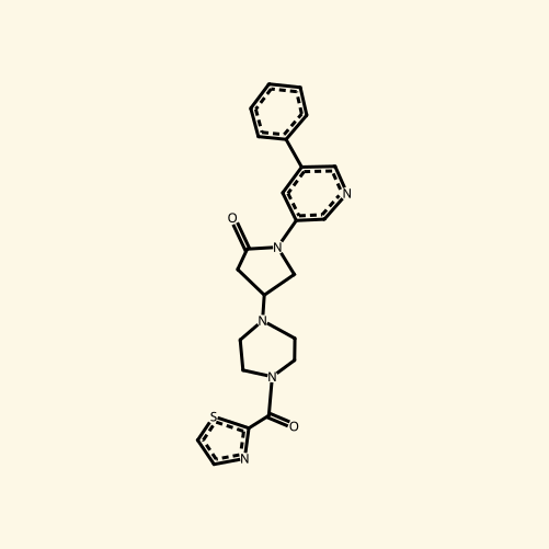 O=C(c1nccs1)N1CCN(C2CC(=O)N(c3cncc(-c4ccccc4)c3)C2)CC1